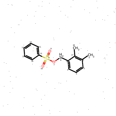 Cc1cccc([SiH2]OS(=O)(=O)c2ccccc2)c1C